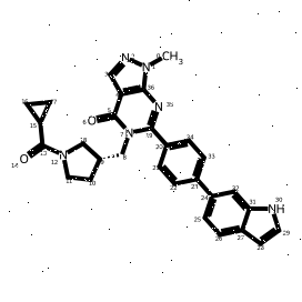 Cn1ncc2c(=O)n(C[C@@H]3CCN(C(=O)C4CC4)C3)c(-c3ccc(-c4ccc5cc[nH]c5c4)cc3)nc21